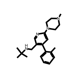 Cc1ccccc1-c1cc(N2CCN(C)CC2)ncc1CNC(C)(C)C